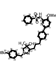 COc1ccc(-c2ccc(CCCC3=NN(Cc4ccc(C(C)(C)C)cc4)CC3(C)C)cc2)nc1NS(=O)(=O)c1ccccc1